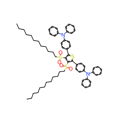 CCCCCCCCCCCCS(=O)(=O)c1c(-c2ccc(N(c3ccccc3)c3ccccc3)cc2)sc(-c2ccc(N(c3ccccc3)c3ccccc3)cc2)c1S(=O)(=O)CCCCCCCCCCCC